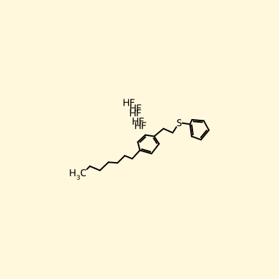 CCCCCCCc1ccc(CCSc2ccccc2)cc1.F.F.F.F.F